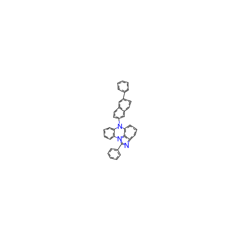 c1ccc(-c2ccc3cc(N4c5ccccc5-n5c(-c6ccccc6)nc6cccc4c65)ccc3c2)cc1